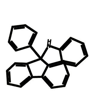 c1ccc(NC2(c3ccccc3)c3ccccc3-c3ccccc32)cc1